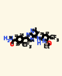 CCOc1nc(Nc2ccnc3nc(-c4ccc(C(N)=O)cc4C(F)(F)F)cnc23)ccc1C(F)(F)F